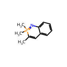 CC1=Cc2ccccc2N=P1(C)C